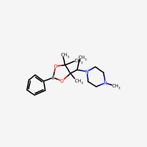 CC(N1CCN(C)CC1)C1(C)OB(c2ccccc2)OC1(C)C